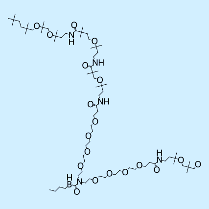 CCCCBC(=O)N(CCOCCOCCOCCOCCC(=O)NCCC(C)(C)OCC(C)(C)C=O)CCOCCOCCOCCOCCC(=O)NCCC(C)(C)OCC(C)(C)C(=O)NCCC(C)(C)OCCC(C)(C)C(=O)NCCC(C)(C)OCC(C)(C)OCC(C)(C)CCC(C)(C)C